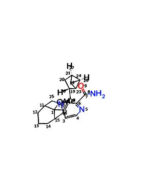 COC1(c2ccnc(C(N)=O)c2)C2CCCC1CN(C[C@@H]1C[C@@H]3C4C1[C@@H]43)C2